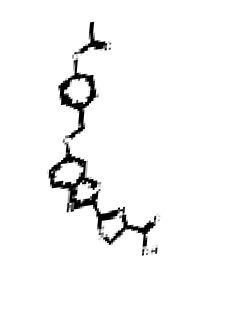 CC(=O)Oc1ccc(COc2ccc3nc(C4=NC(C(=O)O)CS4)sc3c2)cc1